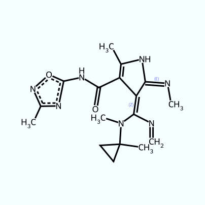 C=N/C(=C1/C(C(=O)Nc2nc(C)no2)=C(C)N/C1=N/C)N(C)C1(C)CC1